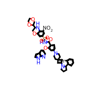 CC(C)c1ccccc1C1CCCN1C1CC2(CCN(c3ccc(C(=O)NS(=O)(=O)c4cc5c(c([N+](=O)[O-])c4)NC(C4COCCO4)CO5)c(Oc4cnc5[nH]ccc5c4)c3)CC2)C1